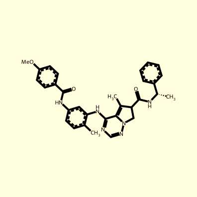 COc1ccc(C(=O)Nc2ccc(C)c(NC3=NC=NN4CC(C(=O)N[C@@H](C)c5ccccc5)C(C)=C34)c2)cc1